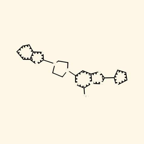 Nc1nc(N2CCN(c3nc4ccccc4s3)CC2)cc2nc(-c3ccco3)nn12